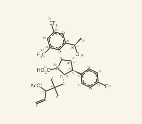 C=CC(OC(C)=O)C(C)(C)C[C@H]1[C@H](c2ccc(F)cc2)[C@@H](O[C@H](C)c2cc(C(F)(F)F)cc(C(F)(F)F)c2)CN1C(=O)O